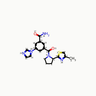 Cc1csc(C2CCCN2C(=O)c2cc(C(N)=O)cc(-n3ccnc3)c2)n1